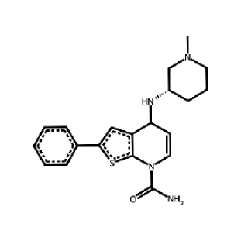 CN1CCC[C@H](NC2C=CN(C(N)=O)c3sc(-c4ccccc4)cc32)C1